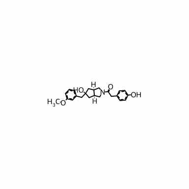 COc1cccc(C[C@]2(O)C[C@H]3CN(C(=O)Cc4ccc(O)cc4)C[C@H]3C2)c1